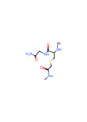 CC(C)NC(CSCC(=O)N(C)C)C(=O)NCC(N)=O